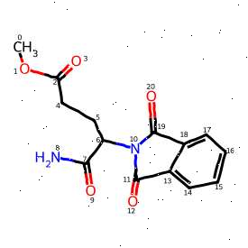 COC(=O)CCC(C(N)=O)N1C(=O)c2ccccc2C1=O